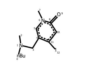 CCCCN(C)Cc1cn(C)c(=O)cc1I